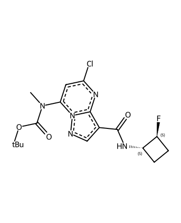 CN(C(=O)OC(C)(C)C)c1cc(Cl)nc2c(C(=O)N[C@H]3CC[C@@H]3F)cnn12